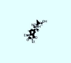 CCn1c(=O)c2cc(S(=O)(=O)N[C@@]3(C#N)C[C@@H]3CO)ccc2n(CC)c1=O